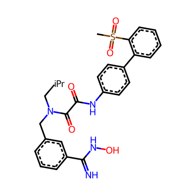 CC(C)CN(Cc1cccc(C(=N)NO)c1)C(=O)C(=O)Nc1ccc(-c2ccccc2S(C)(=O)=O)cc1